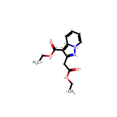 CCOC(=O)Cc1nn2ccccc2c1C(=O)OCC